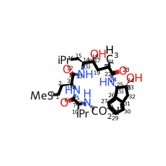 CSCC[C@H](NC(=O)[C@@H](NC(=O)O)C(C)C)C(=O)N[C@@H](CC(C)C)[C@@H](O)C[C@@H](C)C(=O)N[C@H]1c2ccccc2C[C@H]1O